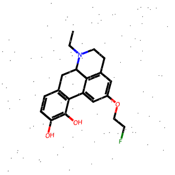 CCN1CCc2cc(OCCF)cc3c2C1Cc1ccc(O)c(O)c1-3